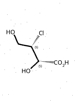 O=C(O)[C@H](O)[C@@H](Cl)CO